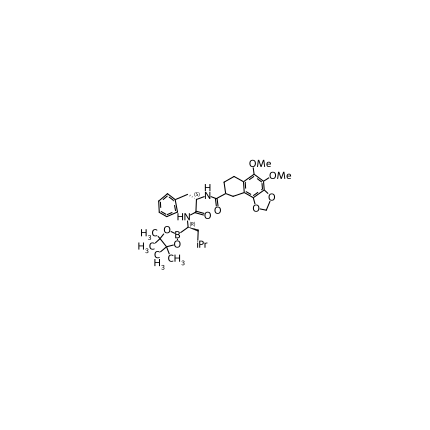 COc1c2c(c3c(c1OC)OCO3)CC(C(=O)N[C@@H](Cc1ccccc1)C(=O)N[C@@H](CC(C)C)B1OC(C)(C)C(C)(C)O1)CC2